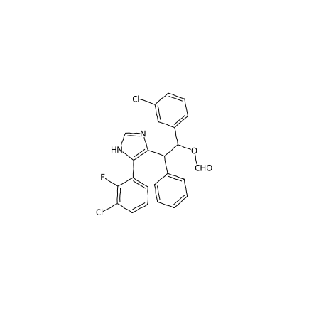 O=COC(c1cccc(Cl)c1)C(c1ccccc1)c1nc[nH]c1-c1cccc(Cl)c1F